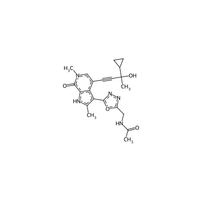 CC(=O)NCc1nnc(-c2c(C)[nH]c3c(=O)n(C)cc(C#CC(C)(O)C4CC4)c23)o1